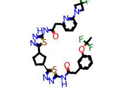 CC(F)(F)Oc1cccc(CC(=O)Nc2nnc([C@H]3CCC(c4nnc(NC(=O)Cc5cccc(N6CC(F)(F)C6)n5)s4)C3)s2)c1